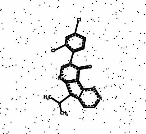 CN(C)c1c2ccnsc-2c2c(=O)n(-c3ccc(Cl)cc3Cl)cnc12